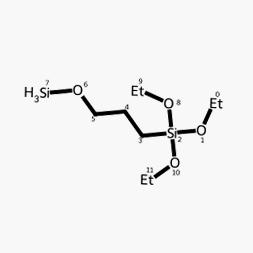 CCO[Si](CCCO[SiH3])(OCC)OCC